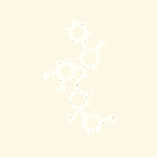 O=C1COC(CCN2CCC(O)(c3cccc(C(F)(F)F)c3)CC2)(c2ccc(Cl)c(Cl)c2)CN1c1ccccc1